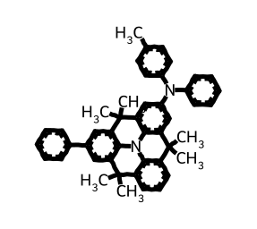 Cc1ccc(N(c2ccccc2)c2cc3c4c(c2)C(C)(C)c2cc(-c5ccccc5)cc5c2N4c2c(cccc2C3(C)C)C5(C)C)cc1